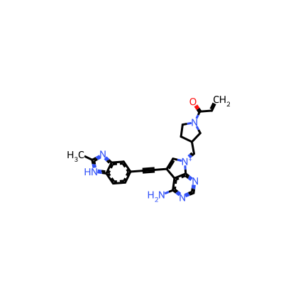 C=CC(=O)N1CCC(/C=[N+]2\C=C(C#Cc3ccc4[nH]c(C)nc4c3)c3c(N)ncnc32)C1